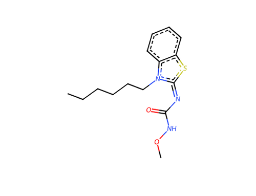 CCCCCCn1c(=NC(=O)NOC)sc2ccccc21